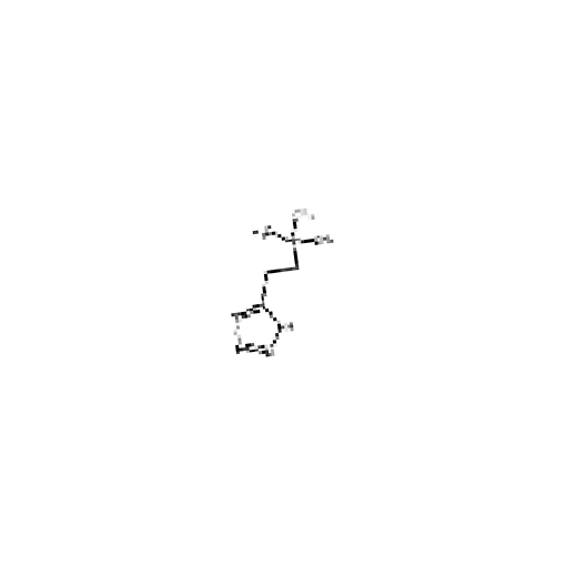 C[N+](C)(C)CCc1nnn[nH]1